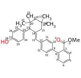 COC(=O)c1ccccc1-c1ccc(C=C2CC(C)(C)CC(C)(C)C2c2ccc(O)cc2)cc1